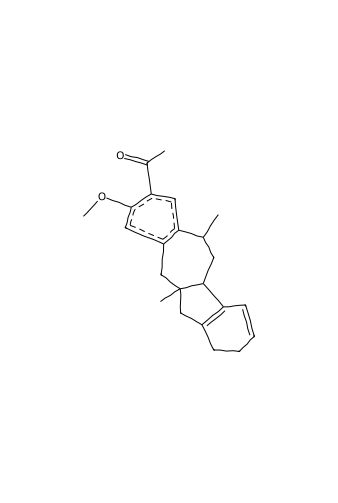 COc1cc2c(cc1C(C)=O)C(C)CC1C3=C(CCC=C3)CC1(C)C2